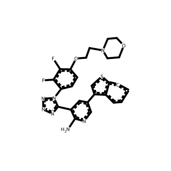 Nc1ncc(-c2csc3ccccc23)cc1-c1nnnn1-c1ccc(OCCN2CCOCC2)c(F)c1F